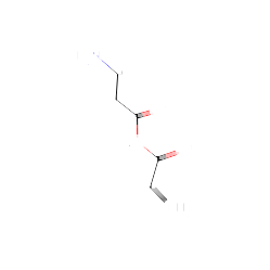 C=CC(=O)OC(=O)CCN